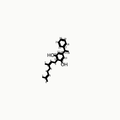 CC(C)=CCCC(C)=CCc1c(O)cc(C(C)c2ccccc2)cc1O